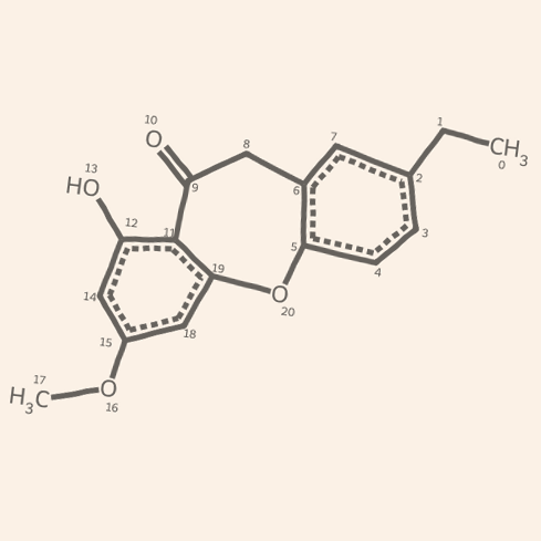 CCc1ccc2c(c1)CC(=O)c1c(O)cc(OC)cc1O2